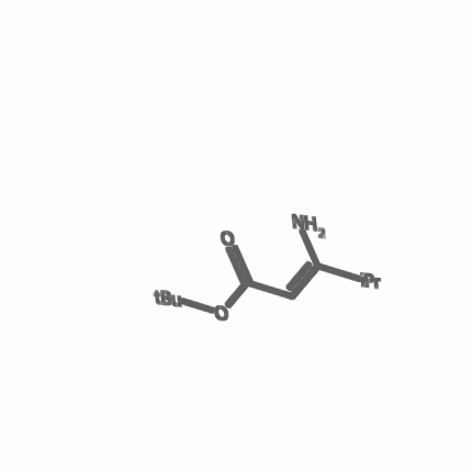 CC(C)/C(N)=C/C(=O)OC(C)(C)C